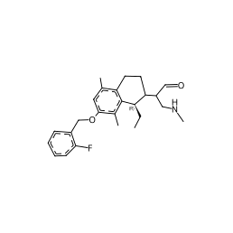 CC[C@H]1c2c(C)c(OCc3ccccc3F)cc(C)c2CCC1C(C=O)CNC